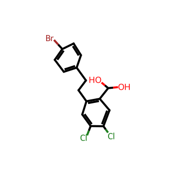 OC(O)c1cc(Cl)c(Cl)cc1CCc1ccc(Br)cc1